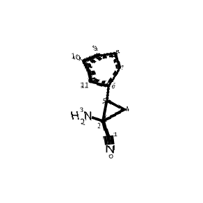 N#CC1(N)CC1c1ccccc1